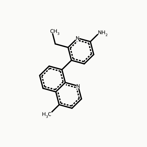 CCc1nc(N)ccc1-c1cccc2c(C)ccnc12